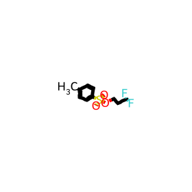 Cc1ccc(S(=O)(=O)OCCC(F)F)cc1